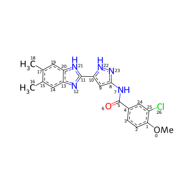 COc1ccc(C(=O)Nc2cc(-c3nc4cc(C)c(C)cc4[nH]3)[nH]n2)cc1Cl